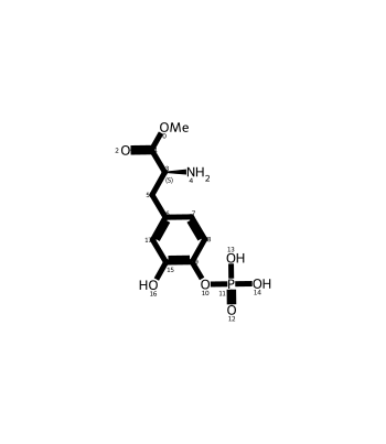 COC(=O)[C@@H](N)Cc1ccc(OP(=O)(O)O)c(O)c1